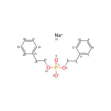 O=P([O-])(OCCc1ccccc1)OCCc1ccccc1.[Na+]